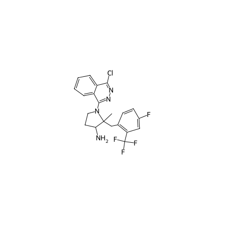 CC1(Cc2ccc(F)cc2C(F)(F)F)C(N)CCN1c1nnc(Cl)c2ccccc12